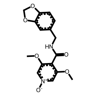 COc1c[n+]([O-])cc(OC)c1C(=O)NCc1ccc2c(c1)OCO2